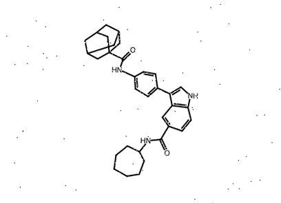 O=C(NC1CCCCCC1)c1ccc2[nH]cc(-c3ccc(NC(=O)C45CC6CC(CC(C6)C4)C5)cc3)c2c1